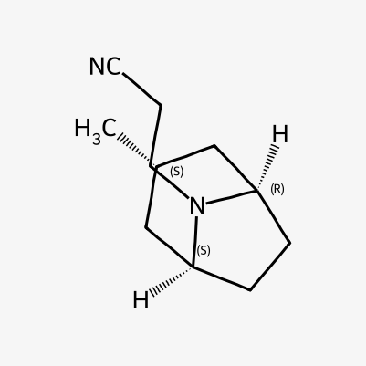 C[C@@H]1C[C@H]2CC[C@@H](C1)N2CCC#N